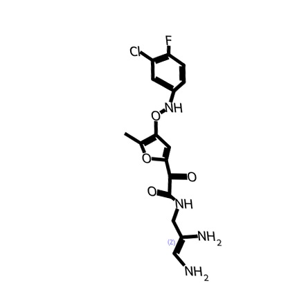 Cc1oc(C(=O)C(=O)NC/C(N)=C/N)cc1ONc1ccc(F)c(Cl)c1